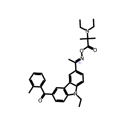 CCN(CC)C(C)(C)C(=O)O/N=C(\C)c1ccc2c(c1)c1cc(C(=O)c3ccccc3C)ccc1n2CC